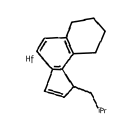 CC(C)CC1C=Cc2ccc3c(c21)CCCC3.[Hf]